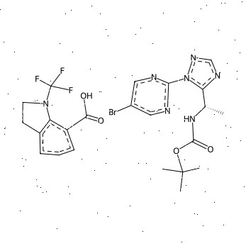 C[C@H](NC(=O)OC(C)(C)C)c1ncnn1-c1ncc(Br)cn1.O=C(O)c1cccc2c1N(C(F)(F)F)CC2